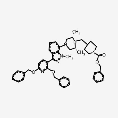 C[C@@H]1CN(c2cccc3c(-c4ccc(OCc5ccccc5)nc4OCc4ccccc4)nn(C)c23)C[C@H](C)N1CC1CCN(C(=O)OCc2ccccc2)CC1